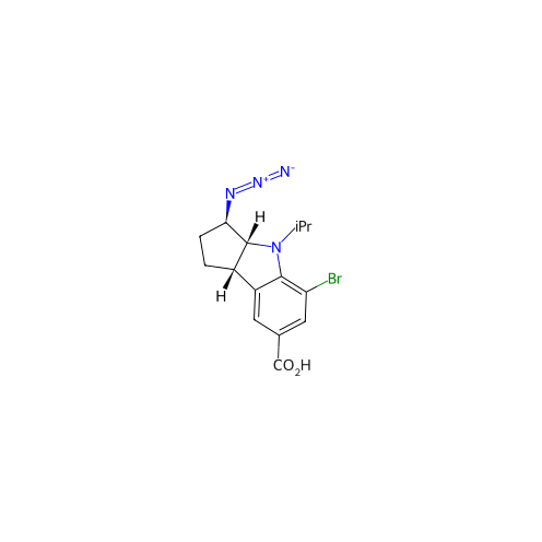 CC(C)N1c2c(Br)cc(C(=O)O)cc2[C@@H]2CC[C@@H](N=[N+]=[N-])[C@@H]21